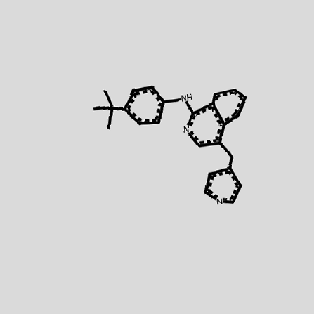 CC(C)(C)c1ccc(Nc2ncc(Cc3ccncc3)c3ccccc23)cc1